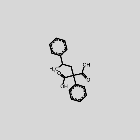 CC(CC(C(=O)O)(C(=O)O)c1ccccc1)c1ccccc1